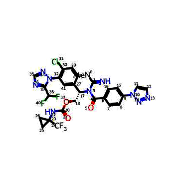 CNC(=N)N(C(=O)c1ccc(-n2ccnn2)cc1)[C@H](COC(=O)NC1(C(F)(F)F)CC1)c1ccc(Cl)c(-n2ncnc2C(F)F)c1